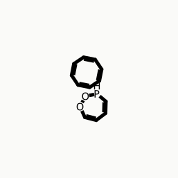 C1=CC=CC=CC=C1.c1cc[pH]ooc1